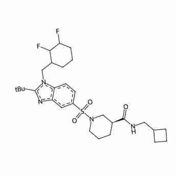 CC(C)(C)c1nc2cc(S(=O)(=O)N3CCC[C@H](C(=O)NCC4CCC4)C3)ccc2n1CC1CCCC(F)C1F